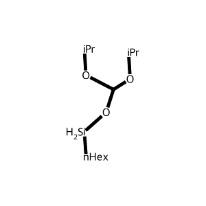 CCCCCC[SiH2]OC(OC(C)C)OC(C)C